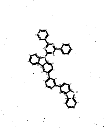 c1ccc(-c2nc(-c3ccccc3)nc(-n3c4ccccc4c4cc(-c5cccc(-c6ccc7sc8ccccc8c7c6)c5)ccc43)n2)cc1